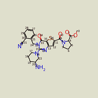 COC(=O)C1CCCN1C(=O)c1cc2nc(N3CCCC(N)C3)n(Cc3ccccc3C#N)c(=O)c2s1